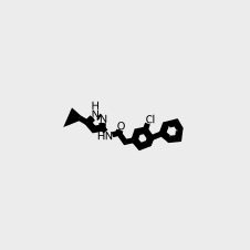 O=C(Cc1ccc(-c2ccccc2)c(Cl)c1)Nc1cc(C2CC2)[nH]n1